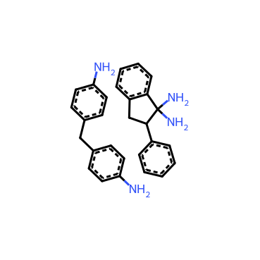 NC1(N)c2ccccc2CC1c1ccccc1.Nc1ccc(Cc2ccc(N)cc2)cc1